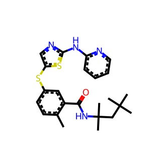 Cc1ccc(Sc2cnc(Nc3ccccn3)s2)cc1C(=O)NC(C)(C)CC(C)(C)C